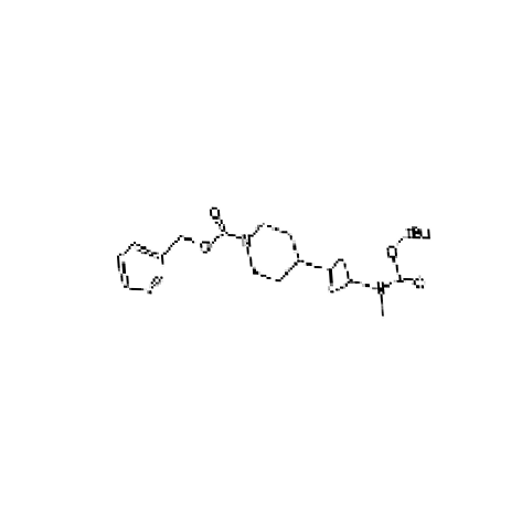 CN(C(=O)OC(C)(C)C)C1CC(C2CCN(C(=O)OCc3ccccc3)CC2)C1